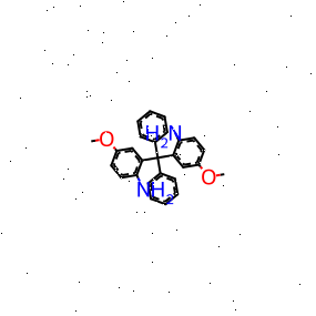 COc1ccc(N)c(C(c2ccccc2)(c2ccccc2)c2cc(OC)ccc2N)c1